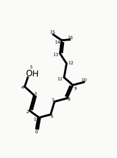 C=C(C=CCO)CCC=C(C)CCC=C(C)C